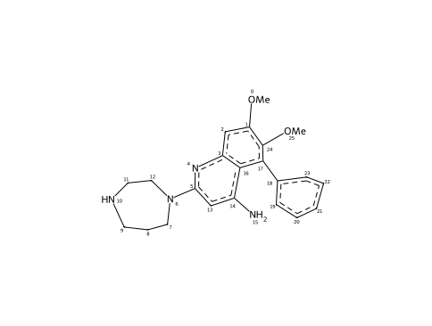 COc1cc2nc(N3CCCNCC3)cc(N)c2c(-c2ccccc2)c1OC